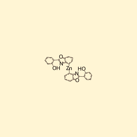 Oc1ccccc1-c1nc2[c]([Zn][c]3cccc4oc(-c5ccccc5O)nc34)cccc2o1